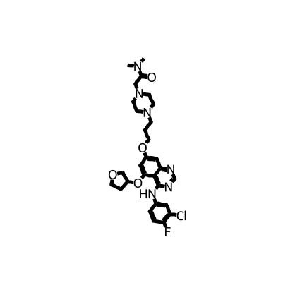 CN(C)C(=O)CN1CCN(CCCOc2cc(OC3CCOC3)c3c(Nc4ccc(F)c(Cl)c4)ncnc3c2)CC1